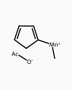 CC(=O)[O-].[CH3][Mn+][C]1=CC=CC1